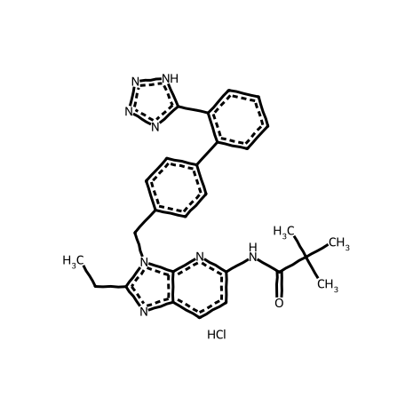 CCc1nc2ccc(NC(=O)C(C)(C)C)nc2n1Cc1ccc(-c2ccccc2-c2nnn[nH]2)cc1.Cl